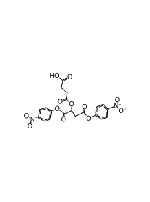 O=C(O)CCC(=O)OC(CC(=O)Oc1ccc([N+](=O)[O-])cc1)C(=O)Oc1ccc([N+](=O)[O-])cc1